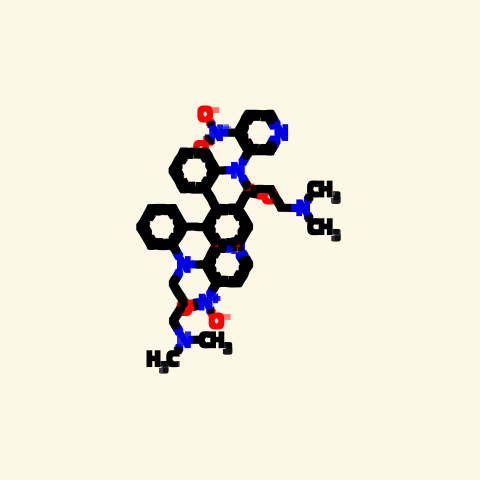 CN(C)CCCN(c1ccccc1-c1cccc(C=O)c1-c1ccccc1N(CCCN(C)C)c1cnccc1[N+](=O)[O-])c1cnccc1[N+](=O)[O-]